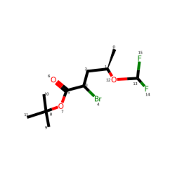 C[C@H](CC(Br)C(=O)OC(C)(C)C)OC(F)F